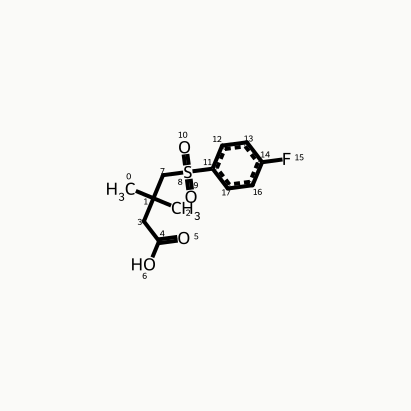 CC(C)(CC(=O)O)CS(=O)(=O)c1ccc(F)cc1